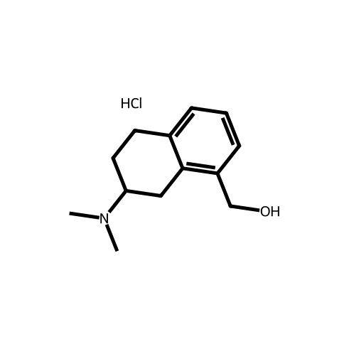 CN(C)C1CCc2cccc(CO)c2C1.Cl